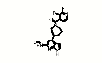 O=CNc1cc(C2=CCN(C(=O)c3ccnc(F)c3F)CCC2)c2cc[nH]c2n1